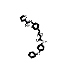 Cl.N/C(=N\c1ccc(CCCC(=O)Nc2ccc(Oc3ccccc3)cc2)cc1)c1cccs1